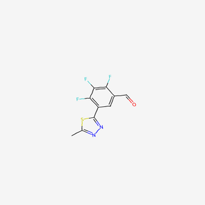 Cc1nnc(-c2cc(C=O)c(F)c(F)c2F)s1